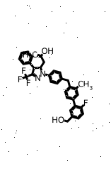 C=C(O)CC1C(c2ccccc2)C(C(F)(F)F)=NN1c1ccc(Cc2ccc(-c3cc(CO)ccc3F)cc2C)cc1